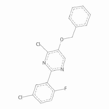 Fc1ccc(Cl)cc1-c1ncc(OCc2ccccc2)c(Cl)n1